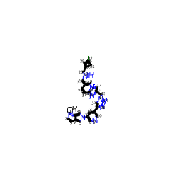 Cn1ccc2cn(-c3cncc(-c4cn(Cc5cn6cc(CNCC78CC(F)(C7)C8)ccc6n5)nn4)c3)cc21